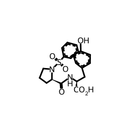 O=C(O)[C@H](Cc1ccc(O)cc1)NC(=O)[C@H]1CCCN1S(=O)(=O)c1ccccc1